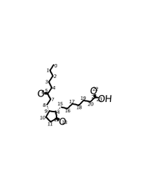 CCCCCC(=O)CC[C@H]1CCC(=O)[C@H]1CCCCCCC(=O)O